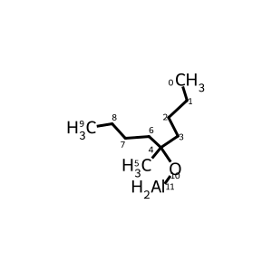 CCCCC(C)(CCCC)[O][AlH2]